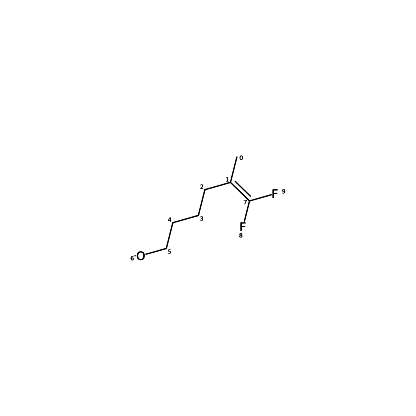 CC(CCCC[O])=C(F)F